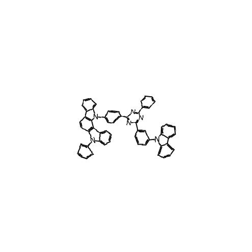 c1ccc(-c2nc(-c3ccc(-n4c5ccccc5c5ccc6c(c7ccccc7n6-c6ccccc6)c54)cc3)nc(-c3cccc(-n4c5ccccc5c5ccccc54)c3)n2)cc1